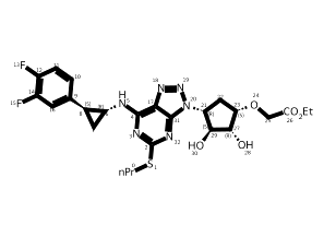 CCCSc1nc(N[C@@H]2C[C@H]2c2ccc(F)c(F)c2)c2nnn([C@@H]3C[C@H](OCC(=O)OCC)[C@H](O)[C@H]3O)c2n1